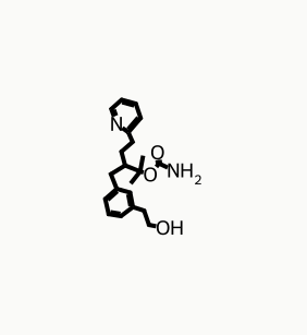 CC(C)(OC(N)=O)C(CCc1ccccn1)Cc1cccc(CCO)c1